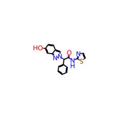 O=C(Nc1nccs1)[C@@H](c1ccccc1)n1cc2ccc(O)cc2n1